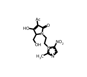 CC(=O)C1=C(O)C(CO)N(CCn2c([N+](=O)[O-])cnc2C)C1=O